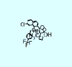 CC1([C@H](NC(=O)c2ccc3ccc(Cl)cc3c2OCc2ccc(C(F)(F)F)cc2)C(=O)O)CCC1